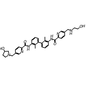 Cc1c(NC(=O)c2ccc(CNCCO)cn2)cccc1-c1cccc(NC(=O)c2ccc(CN3CCC(O)C3)cn2)c1C